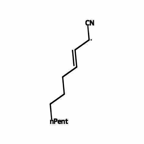 CCCCCCCCC=C[CH]C#N